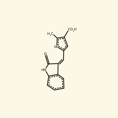 Cc1[se]c(C=C2C(=O)Nc3ccccc32)cc1C(=O)O